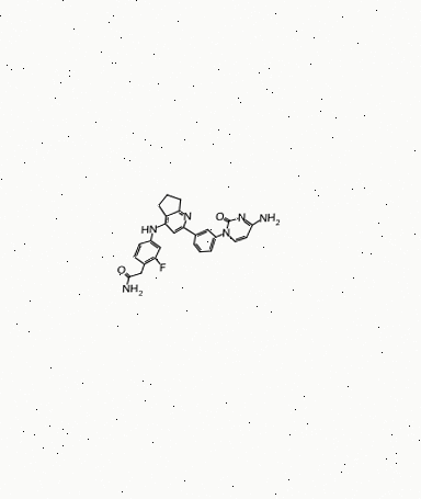 NC(=O)Cc1ccc(Nc2cc(-c3cccc(-n4ccc(N)nc4=O)c3)nc3c2CCC3)cc1F